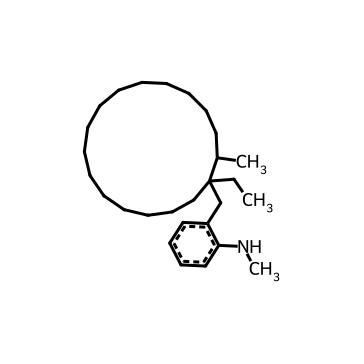 CCC1(Cc2ccccc2NC)CCCCCCCCCCCCCCCC1C